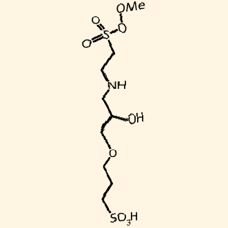 COOS(=O)(=O)CCNCC(O)COCCCS(=O)(=O)O